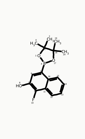 CC1(C)OB(c2cc(O)c(F)c3ccccc23)OC1(C)C